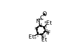 CCc1cc(N=C=O)c(CC)c(F)c1CC